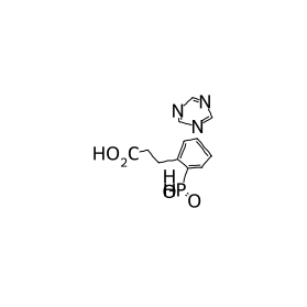 O=C(O)CCc1ccccc1[PH](=O)O.c1ncncn1